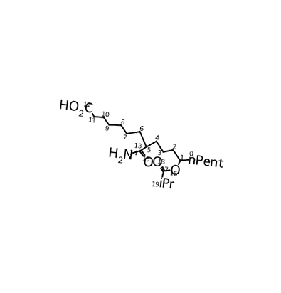 CCCCCC(CCCC(CCCCCCC(=O)O)C(N)=O)OC(=O)C(C)C